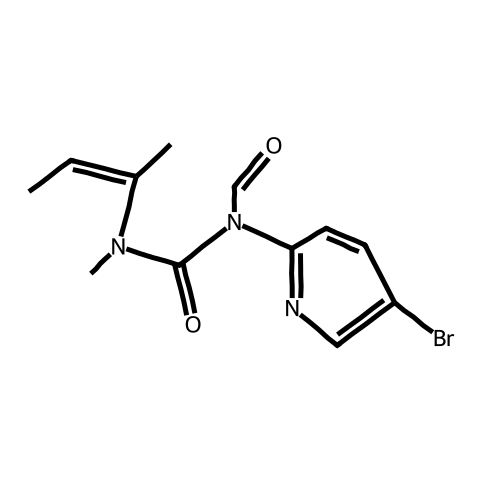 C/C=C(/C)N(C)C(=O)N(C=O)c1ccc(Br)cn1